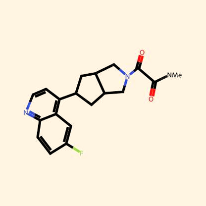 CNC(=O)C(=O)N1CC2CC(c3ccnc4ccc(F)cc34)CC2C1